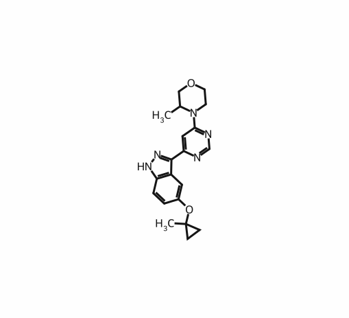 CC1COCCN1c1cc(-c2n[nH]c3ccc(OC4(C)CC4)cc23)ncn1